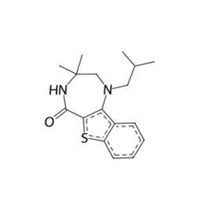 CC(C)CN1CC(C)(C)NC(=O)c2sc3ccccc3c21